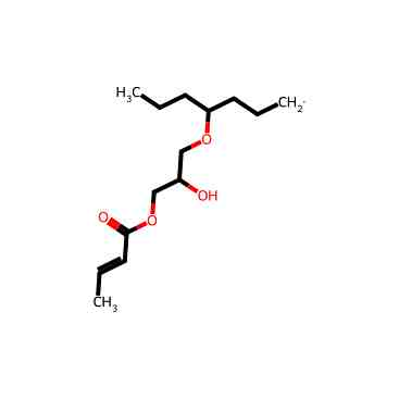 [CH2]CCC(CCC)OCC(O)COC(=O)C=CC